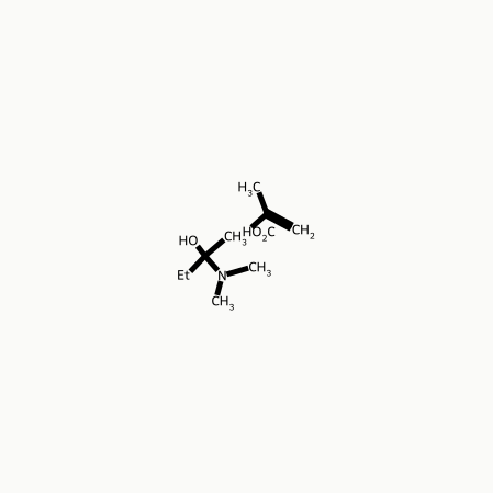 C=C(C)C(=O)O.CCC(C)(O)N(C)C